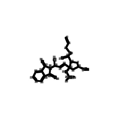 C=CCOC(=O)N1C[C@@H](C(C)(C)C)C[C@@]1(C=CC(Cl)N1C(=O)c2ccccc2C1=O)O[SiH](C)C